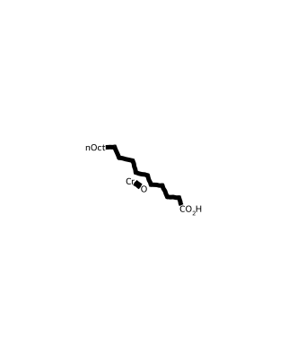 CCCCCCCCCCCCCCCCCC(=O)O.[O]=[Cr]